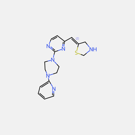 C(=C1\CNCS1)/c1ccnc(N2CCN(c3ccccn3)CC2)n1